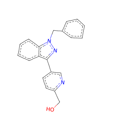 OCc1ccc(-c2nn(Cc3ccccc3)c3ccccc23)cn1